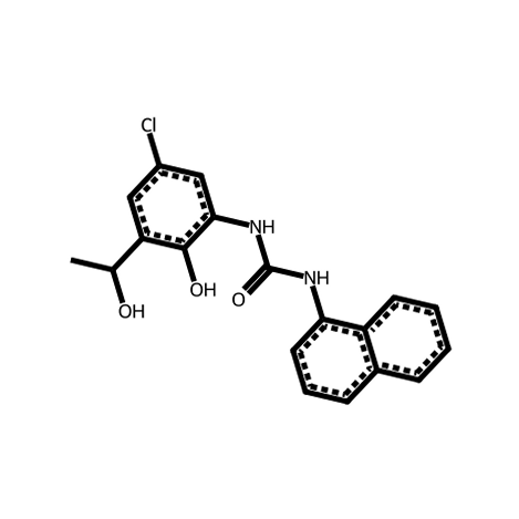 CC(O)c1cc(Cl)cc(NC(=O)Nc2cccc3ccccc23)c1O